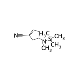 CN(C1CC=C(C#N)C1)[Si](C)(C)C